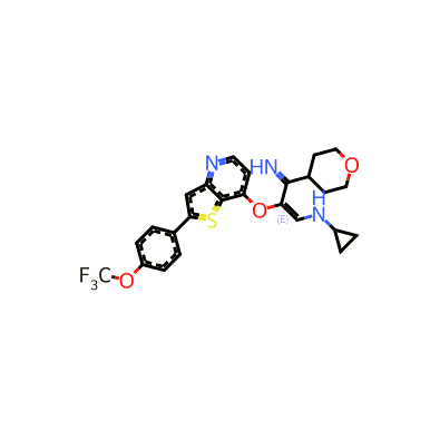 N=C(/C(=C\NC1CC1)Oc1ccnc2cc(-c3ccc(OC(F)(F)F)cc3)sc12)C1CCOCC1